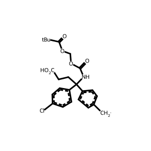 [CH2]c1ccc(C(CCC(=O)O)(NC(=O)OCOC(=O)C(C)(C)C)c2ccc(Cl)cc2)cc1